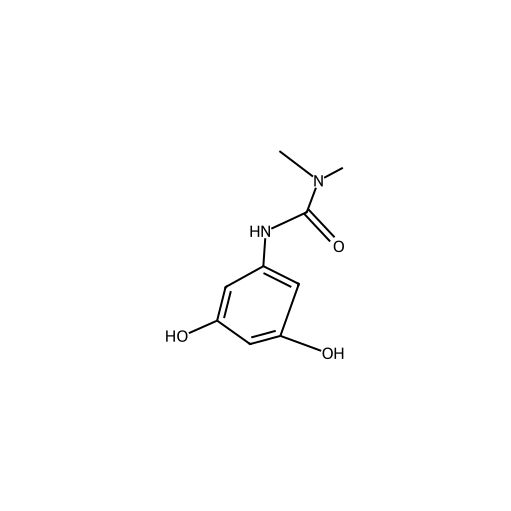 CN(C)C(=O)Nc1cc(O)cc(O)c1